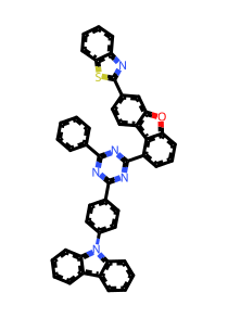 c1ccc(-c2nc(-c3ccc(-n4c5ccccc5c5ccccc54)cc3)nc(-c3cccc4oc5cc(-c6nc7ccccc7s6)ccc5c34)n2)cc1